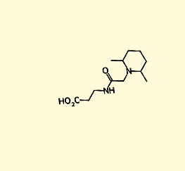 CC1CCCC(C)N1CC(=O)NCCC(=O)O